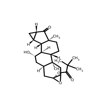 CC(C)(C)C(=O)O[C@]12C[C@H]3C[C@H](O)[C@H]4[C@@H]5[C@@H]6C[C@@H]6C(=O)[C@@]5(C)CC[C@@H]4[C@@]3(C)CC1O2